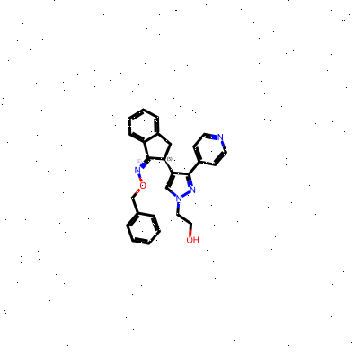 OCCn1cc([C@@H]2Cc3ccccc3/C2=N/OCc2ccccc2)c(-c2ccncc2)n1